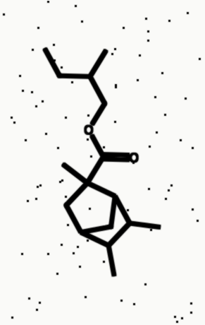 CCC(C)COC(=O)C1(C)CC2CC1C(C)C2C